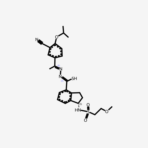 COCCS(=O)(=O)N[C@H]1CCc2c(/C(S)=N/N=C(\C)c3ccc(OC(C)C)c(C#N)c3)cccc21